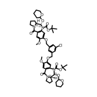 COc1cc2c(cc1OCc1cc(Cl)cc(COc3cc4c(cc3OC)C(=O)N3CCC[C@H]3[C@H](OC3CCCCO3)N4C(=O)OC(C)(C)C)c1)N(C(=O)OC(C)(C)C)[C@@H](OC1CCCCO1)[C@@H]1CCCN1C2=O